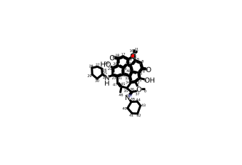 COc1c(O)c2c(=O)cc(OC)c3c4c(OC)cc(=O)c5c(O)c(NC6CCCCC6)c6c(c(c1C(/C(C)=N/C1CCCCC1)C(C)=C6)c23)c54